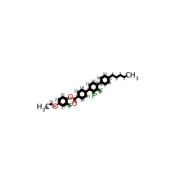 CCCCCc1ccc(-c2ccc(-c3ccc(C(=O)Oc4ccc(OCC)cc4F)cc3)c(F)c2F)cc1